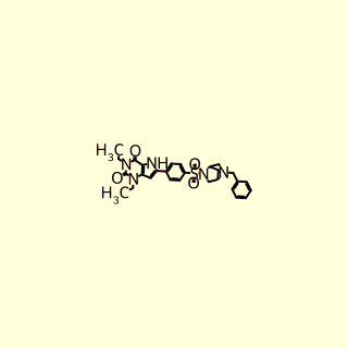 CCn1c(=O)c2[nH]c(-c3ccc(S(=O)(=O)N4CC5CC4CN5Cc4ccccc4)cc3)cc2n(CC)c1=O